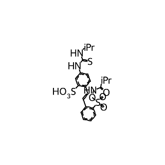 CC(C)NC(=S)Nc1ccc(C=Cc2ccccc2S(=O)(=O)ONC(=O)C(C)C)c(S(=O)(=O)O)c1